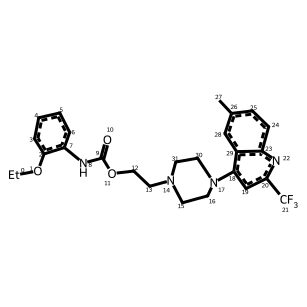 CCOc1ccccc1NC(=O)OCCN1CCN(c2cc(C(F)(F)F)nc3ccc(C)cc23)CC1